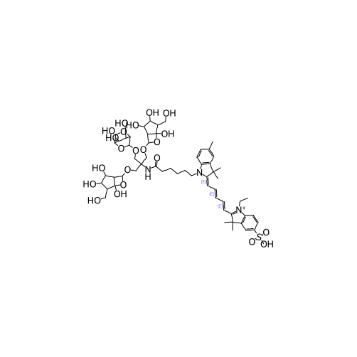 CC[N+]1=C(/C=C/C=C/C=C2/N(CCCCCC(=O)NC(COC3OC4C(O)OC3C(O)C4O)(COC3OC4(O)C(CO)C(O)C(O)C34)COC3OC4(O)C(CO)C(O)C(O)C34)c3ccc(C)cc3C2(C)C)C(C)(C)c2cc(S(=O)(=O)O)ccc21